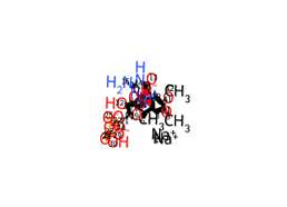 COc1cc(C(C)[C@@]2(n3cnc4c(=O)[nH]c(N)nc43)O[C@H](COP(=O)([O-])OP(=O)([O-])O)[C@@H](O)[C@H]2O)c([N+](=O)[O-])cc1OC.[Na+].[Na+]